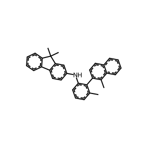 Cc1cccc(Nc2ccc3c(c2)C(C)(C)c2ccccc2-3)c1-c1ccc2ccccc2c1C